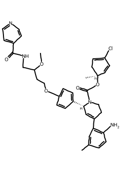 COC(CCOc1ccc([C@H]2C=C(c3cc(C)ccc3N)CCN2C(=O)O[C@]2(C)C=CC(Cl)=CC2)cc1)CNC(=O)c1ccncc1